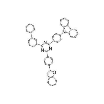 c1ccc(-c2cccc(-c3nc(-c4ccc(-c5cc6ccccc6o5)cc4)nc(-c4ccc(-n5c6ccccc6c6ccccc65)cc4)n3)c2)cc1